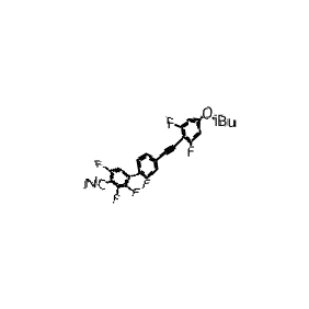 CCC(C)Oc1cc(F)c(C#Cc2ccc(-c3cc(F)c(C#N)c(F)c3F)c(F)c2)c(F)c1